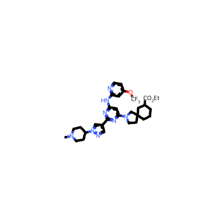 CCOC(=O)C1CCCC2(CCN(c3cc(Nc4cc(OC(F)(F)F)ccn4)nc(-c4cnn(C5CCN(C)CC5)c4)n3)C2)C1